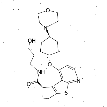 O=C(NCCCO)[C@@H]1CCc2sc3nccc(O[C@H]4CC[C@H](N5CCOCC5)CC4)c3c21